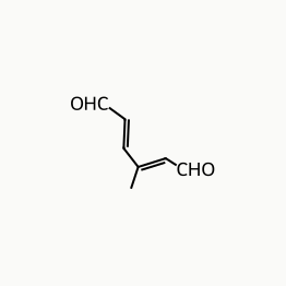 CC(C=CC=O)=CC=O